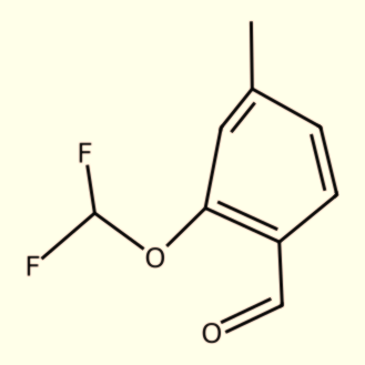 Cc1ccc(C=O)c(OC(F)F)c1